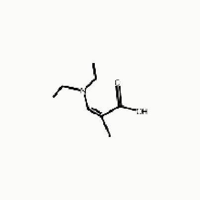 CCN(C=C(C)C(=O)O)CC